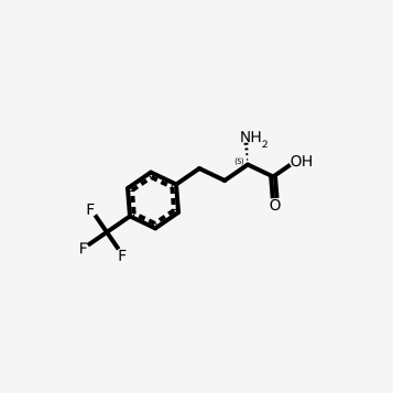 N[C@@H](CCc1ccc(C(F)(F)F)cc1)C(=O)O